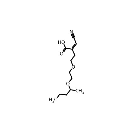 CCCC(C)OCCOCCC(=CC#N)C(=O)O